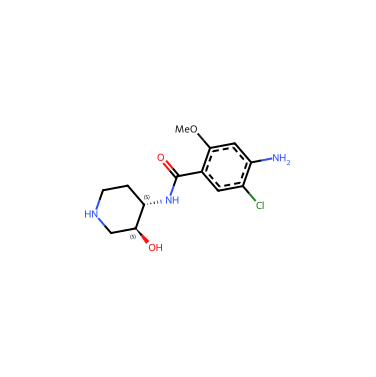 COc1cc(N)c(Cl)cc1C(=O)N[C@H]1CCNC[C@@H]1O